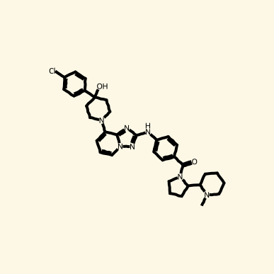 CN1CCCCC1C1CCCN1C(=O)c1ccc(Nc2nc3c(N4CCC(O)(c5ccc(Cl)cc5)CC4)cccn3n2)cc1